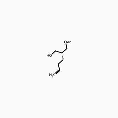 C=CCC[C@H](CO)COC(C)=O